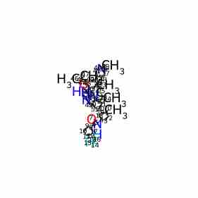 Cc1ccc(NC(=O)c2cccc(C(F)(F)F)c2)cc1-c1cc(C(C)C)c2nc(Nc3cc(C)c(C4CCN(C)CC4)cc3OC(C)C)ncc2c1